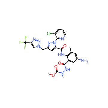 COC(=O)N(C)NC(=O)c1cc(N)cc(C)c1NC(=O)c1cc(Cn2cc(C(F)(F)F)nn2)nn1-c1ncccc1Cl